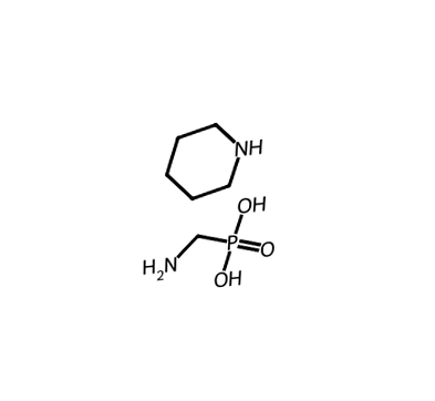 C1CCNCC1.NCP(=O)(O)O